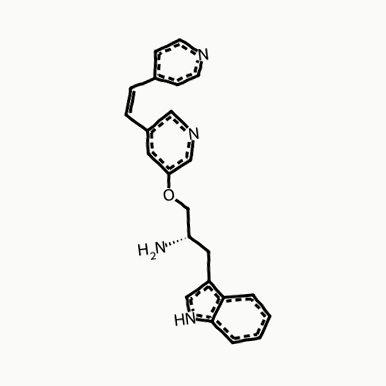 N[C@H](COc1cncc(/C=C\c2ccncc2)c1)Cc1c[nH]c2ccccc12